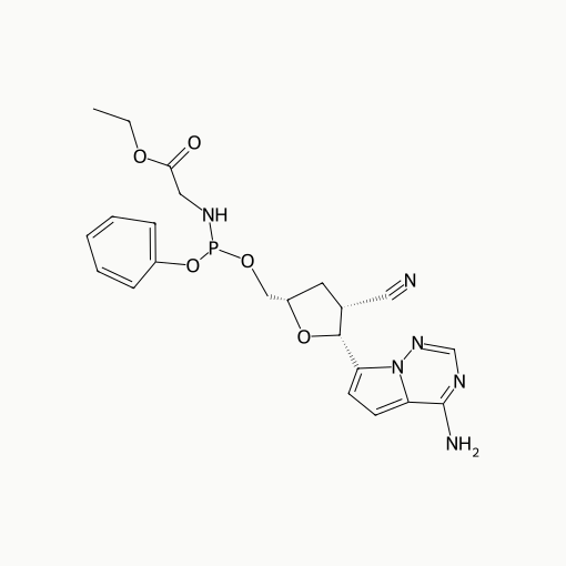 CCOC(=O)CNP(OC[C@@H]1C[C@H](C#N)[C@H](c2ccc3c(N)ncnn23)O1)Oc1ccccc1